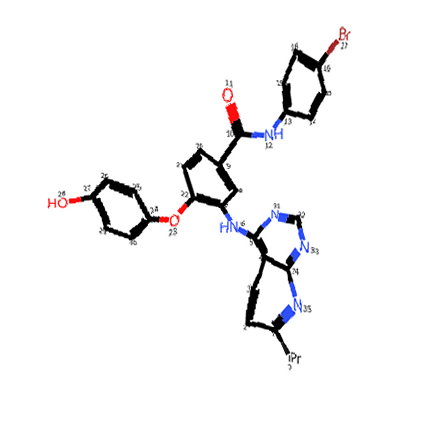 CC(C)c1ccc2c(Nc3cc(C(=O)Nc4ccc(Br)cc4)ccc3Oc3ccc(O)cc3)ncnc2n1